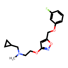 CN(CCOc1cc(COc2cccc(F)c2)on1)CC1CC1